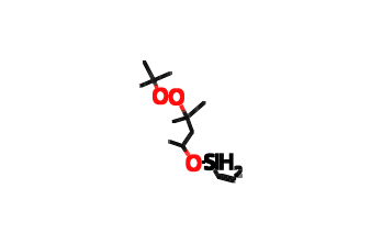 C=C[SiH2]OC(C)CC(C)(C)OOC(C)(C)C